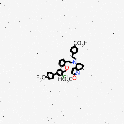 O=C(O)Oc1ccc2c(n1)CCCC2N(CCc1ccc(C(=O)O)cc1)CCc1ccccc1OCc1ccc(-c2ccc(C(F)(F)F)cc2)cc1Cl